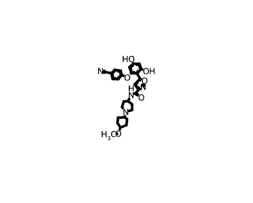 COC1CCC(N2CCC(NC(=O)c3cc(-c4c(O)cc(O)cc4Oc4ccc(C#N)cc4)on3)CC2)CC1